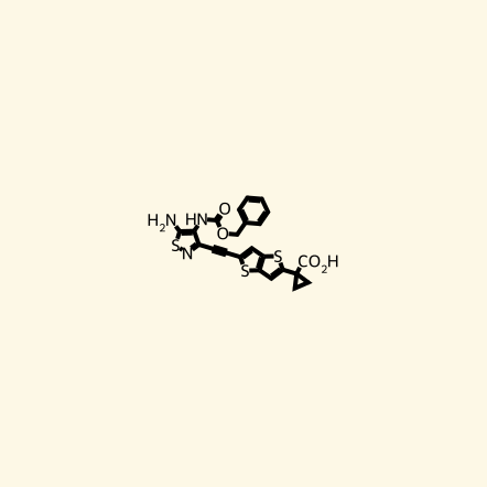 Nc1snc(C#Cc2cc3sc(C4(C(=O)O)CC4)cc3s2)c1NC(=O)OCc1ccccc1